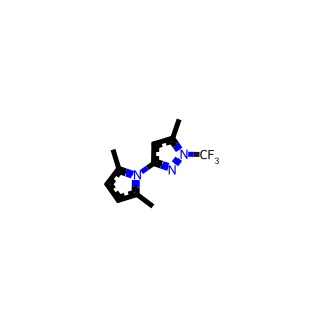 Cc1cc(-n2c(C)ccc2C)nn1C(F)(F)F